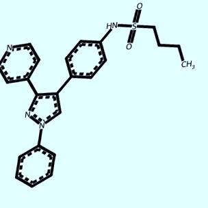 CCCCS(=O)(=O)Nc1ccc(-c2cn(-c3ccccc3)nc2-c2ccncc2)cc1